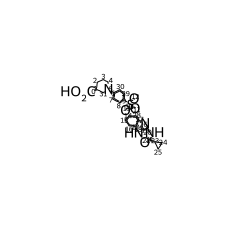 O=C(O)C1CCCN(c2ccc(S(=O)(=O)Oc3ccc4[nH]c(NC(=O)C5CC5)nc4c3)cc2)C1